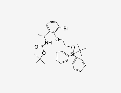 C[C@@H](NC(=O)OC(C)(C)C)c1cccc(Br)c1OCCO[Si](c1ccccc1)(c1ccccc1)C(C)(C)C